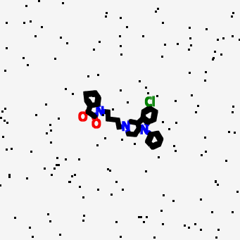 O=C1C(=O)N(CCCCN2CCC3C(C2)c2cc(Cl)ccc2N3c2ccccc2)c2ccccc21